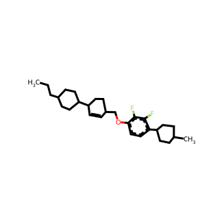 CCCC1CCC(C2C=CC(COc3ccc(C4CCC(C)CC4)c(F)c3F)CC2)CC1